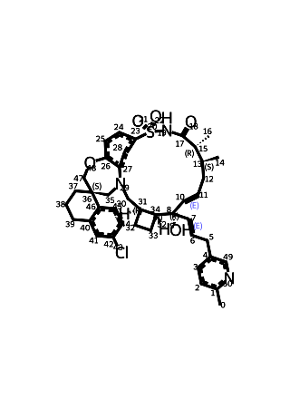 Cc1ccc(C/C=C/[C@]2(O)/C=C/C[C@H](C)[C@@H](C)C(=O)NS(=O)(=O)c3ccc4c(c3)N(C[C@@H]3CC[C@H]32)C[C@@]2(CCCc3cc(Cl)ccc32)CO4)cn1